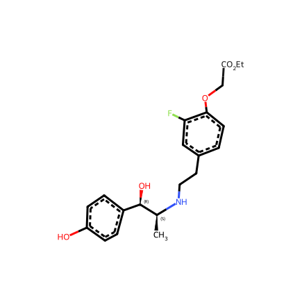 CCOC(=O)COc1ccc(CCN[C@@H](C)[C@H](O)c2ccc(O)cc2)cc1F